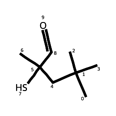 CC(C)(C)CC(C)(S)C=O